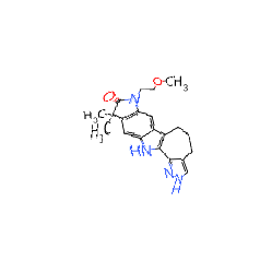 COCCN1C(=O)C(C)(C)c2cc3[nH]c4c(c3cc21)CCCc1c[nH]nc1-4